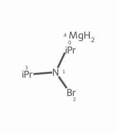 CC(C)N(Br)C(C)C.[MgH2]